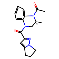 CC(=O)N1c2ccccc2N(C(=O)c2cc3n(n2)CCC3)C[C@@H]1C